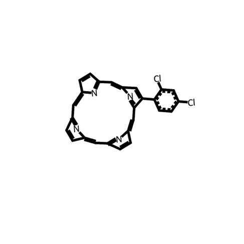 Clc1ccc(C2=CC3=CC4=NC(=CC5=NC(=CC6=NC(=CC2=N3)C=C6)C=C5)C=C4)c(Cl)c1